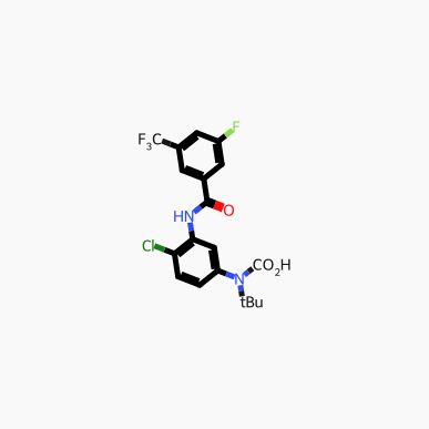 CC(C)(C)N(C(=O)O)c1ccc(Cl)c(NC(=O)c2cc(F)cc(C(F)(F)F)c2)c1